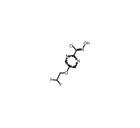 ON=C(Cl)c1ncc(OCC(F)F)cn1